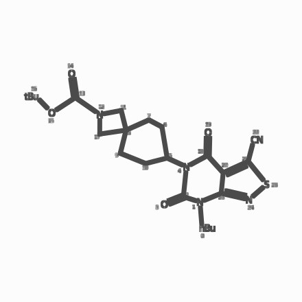 CCCCn1c(=O)n(C2CCC3(CC2)CN(C(=O)OC(C)(C)C)C3)c(=O)c2c(C#N)snc21